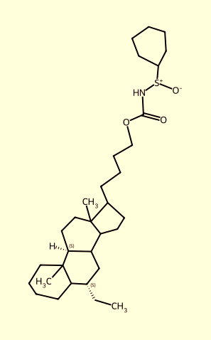 CC[C@H]1CC2C3CCC(CCCCOC(=O)N[S+]([O-])C4CCCCC4)C3(C)CC[C@@H]2C2(C)CCCCC12